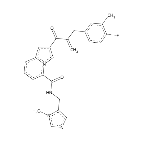 C=C(Cc1ccc(F)c(C)c1)C(=O)c1cc2cccc(C(=O)NCc3cncn3C)n2c1